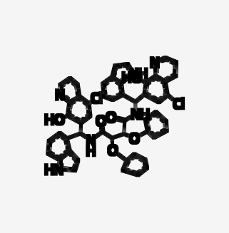 O=C(NC(c1cc(Cl)c2cccnc2c1O)c1cccc2[nH]ccc12)C(Oc1ccccc1)C(Oc1ccccc1)C(=O)NC(c1cc(Cl)c2cccnc2c1O)c1cccc2cc[nH]c12